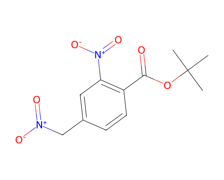 CC(C)(C)OC(=O)c1ccc(C[N+](=O)[O-])cc1[N+](=O)[O-]